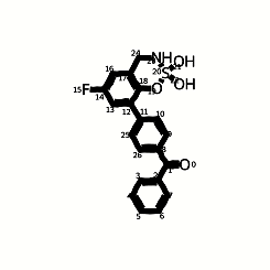 O=C(c1ccccc1)c1ccc(-c2cc(F)cc3c2OS(O)(O)NC3)cc1